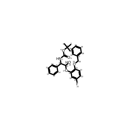 CC(C)(C)OC(=O)NC(c1ccccc1)C(O)Oc1cc(F)ccc1OCc1ccccc1